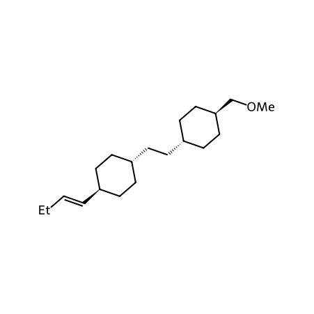 CCC=C[C@H]1CC[C@H](CC[C@H]2CC[C@H](COC)CC2)CC1